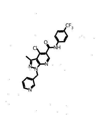 Cc1nn(Cc2cccnc2)c2ncc(C(=O)Nc3ccc(C(F)(F)F)cc3)c(Cl)c12